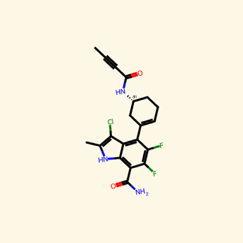 CC#CC(=O)N[C@@H]1CCC=C(c2c(F)c(F)c(C(N)=O)c3[nH]c(C)c(Cl)c23)C1